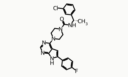 C[C@H](NC(=O)N1CCN(c2ncnc3[nH]c(-c4ccc(F)cc4)cc23)CC1)c1cccc(Cl)c1